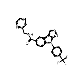 O=C(NCc1cnccn1)c1ccc2c(c1)c1csnc1n2-c1ccc(C(F)(F)F)cc1